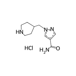 Cl.NC(=O)c1cnn(CC2CCNCC2)c1